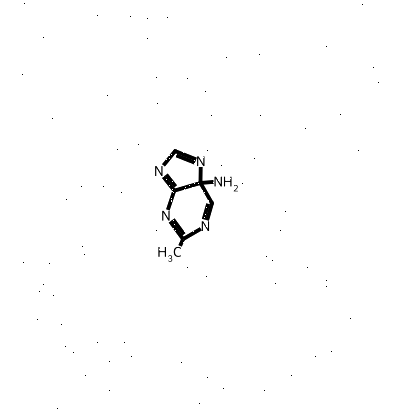 CC1=NC2=NC=NC2(N)C=N1